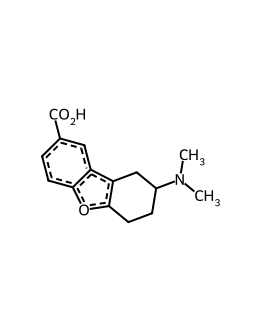 CN(C)C1CCc2oc3ccc(C(=O)O)cc3c2C1